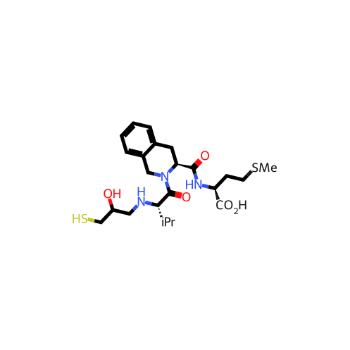 CSCC[C@H](NC(=O)[C@@H]1Cc2ccccc2CN1C(=O)[C@@H](NCC(O)CS)C(C)C)C(=O)O